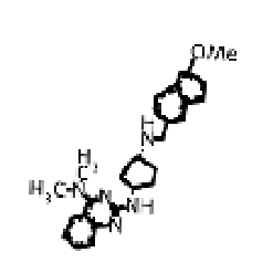 COc1ccc2cc(CN[C@H]3CC[C@@H](Nc4nc(N(C)C)c5ccccc5n4)CC3)ccc2c1